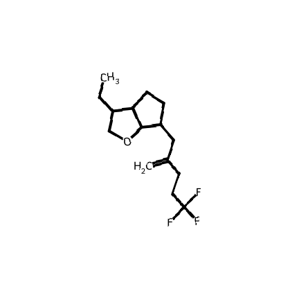 C=C(CCC(F)(F)F)CC1CCC2C(CC)COC12